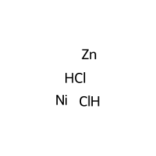 Cl.Cl.[Ni].[Zn]